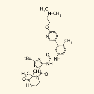 Cc1ccc(NC(=O)Nc2sc(C(C)(C)C)cc2C(=O)N2CCNC(=O)C2(C)C)cc1-c1ccc(OCCN(C)C)nc1